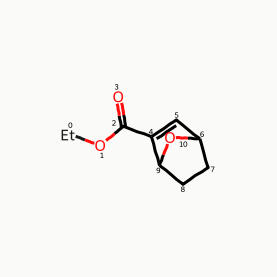 CCOC(=O)C1=CC2CCC1O2